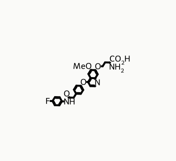 COc1cc2c(Oc3ccc(CC(=O)Nc4ccc(F)cc4)cc3)ccnc2cc1OCCC(N)C(=O)O